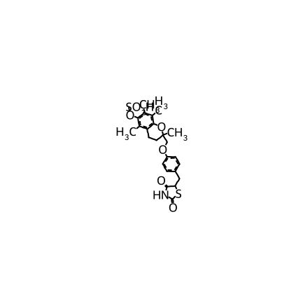 Cc1c(C)c2c(c(C)c1OS(=O)(=O)O)CCC(C)(COc1ccc(CC3SC(=O)NC3=O)cc1)O2